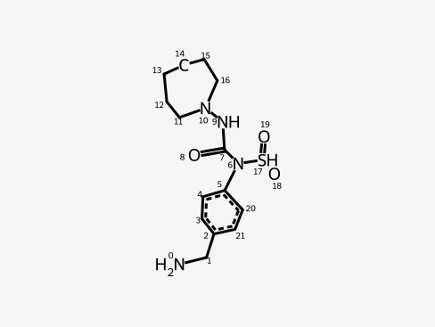 NCc1ccc(N(C(=O)NN2CCCCCC2)[SH](=O)=O)cc1